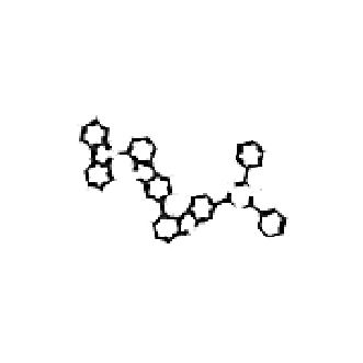 C1=CCCC(C2=NC(c3ccccc3)=NC(c3ccc4c(c3)oc3cccc(-c5ccc6c(c5)sc5c(-n7c8ccccc8c8ccccc87)cccc56)c34)N2)=C1